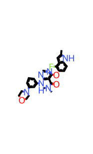 Cc1cc2c(F)c(Oc3ncnc(Nc4cccc(N5CCOCC5)c4)c3C(=O)N(C)C)ccc2[nH]1